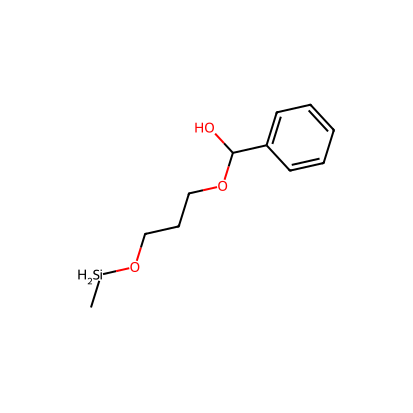 C[SiH2]OCCCOC(O)c1ccccc1